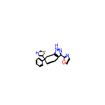 C1=CC(c2ccccc2)(c2cncs2)Cc2[nH]nc(-c3ncco3)c21